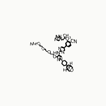 COCCOCCOCCOc1nn([C@H]2CC[C@H](N3[C@@H]4CC[C@H]3COC4)CC2)cc1Nc1ncc(-c2ccc(C#N)c(O[C@@H](C)Cn3cnnn3)c2)cn1